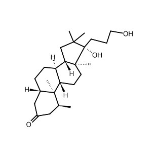 C[C@H]1CC(=O)C[C@@H]2CC[C@@H]3[C@H](CC[C@@]4(C)[C@H]3CC(C)(C)[C@@]4(O)CCCO)[C@]21C